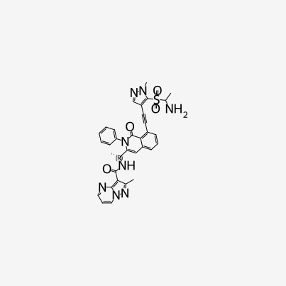 Cc1nn2cccnc2c1C(=O)N[C@H](C)c1cc2cccc(C#Cc3cnn(C)c3S(=O)(=O)C(C)N)c2c(=O)n1-c1ccccc1